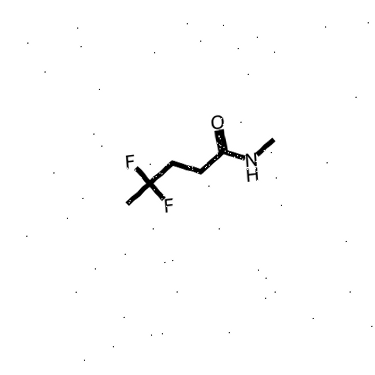 CNC(=O)CCC(C)(F)F